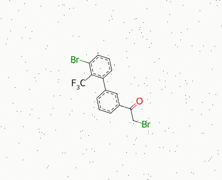 O=C(CBr)c1cccc(-c2cc[c]c(Br)c2C(F)(F)F)c1